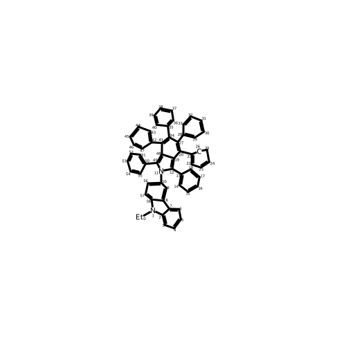 CCn1c2ccccc2c2cc(-n3c(-c4ccccc4)c4c(C5=CC=CCC5)c(-c5ccccc5)c(-c5ccccc5)c(-c5ccccc5)c4c3-c3ccccc3)ccc21